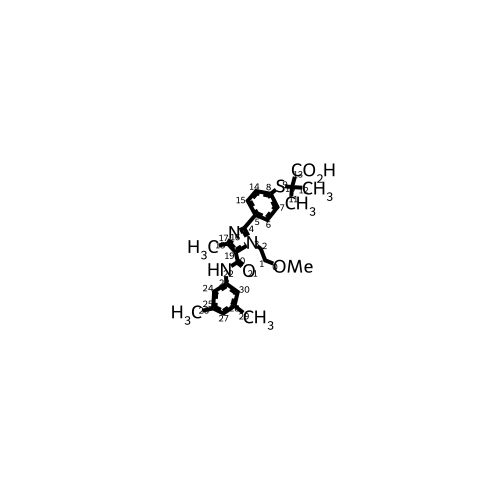 COCCn1c(-c2ccc(SC(C)(C)C(=O)O)cc2)nc(C)c1C(=O)Nc1cc(C)cc(C)c1